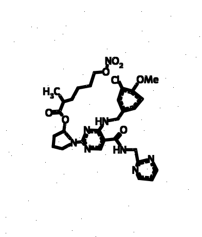 COc1ccc(CNc2nc(N3CCCC3OC(=O)C(C)CCCCO[N+](=O)[O-])ncc2C(=O)NCc2ncccn2)cc1Cl